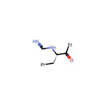 CCC(=O)[C@H](CC(C)C)NC=N